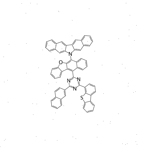 c1ccc2cc(-c3nc(-c4cccc5c4sc4ccccc45)nc(-c4c5ccccc5c(-n5c6cc7ccccc7cc6c6cc7ccccc7cc65)c5oc6ccccc6c45)n3)ccc2c1